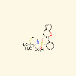 CC1(C)SCCN(S(=O)(=O)c2ccccc2-c2ccc3cccc-3o2)[C@H]1C(=O)O